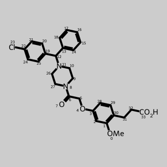 COc1cc(OCC(=O)N2CCN(C(c3ccccc3)c3ccc(Cl)cc3)CC2)ccc1CCC(=O)O